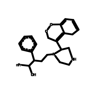 CCCC(O)C(CCN1CCNCC1C1=C2CC=CC=C2OOC1)c1ccccc1